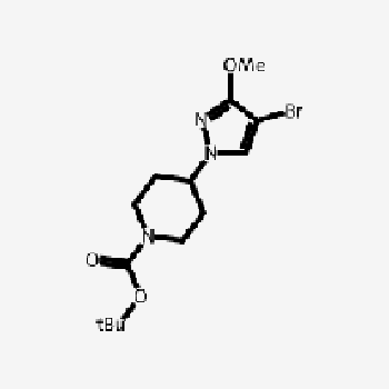 COc1nn(C2CCN(C(=O)OC(C)(C)C)CC2)cc1Br